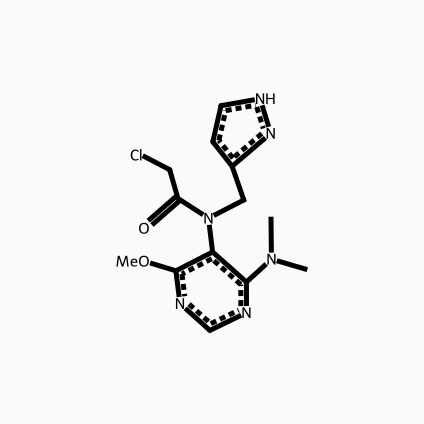 COc1ncnc(N(C)C)c1N(Cc1cc[nH]n1)C(=O)CCl